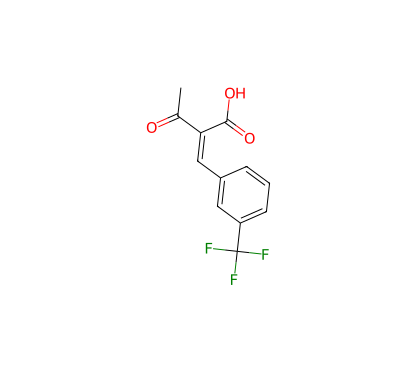 CC(=O)C(=Cc1cccc(C(F)(F)F)c1)C(=O)O